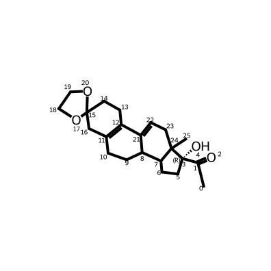 CC(=O)[C@@]1(O)CCC2C3CCC4=C(CCC5(C4)OCCO5)C3=CCC21C